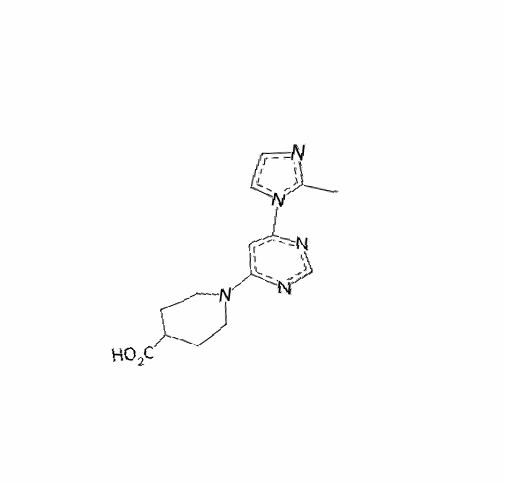 Cc1nccn1-c1cc(N2CCC(C(=O)O)CC2)ncn1